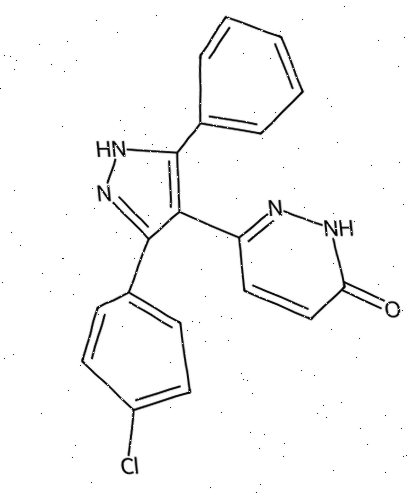 O=c1ccc(-c2c(-c3ccc(Cl)cc3)n[nH]c2-c2ccccc2)n[nH]1